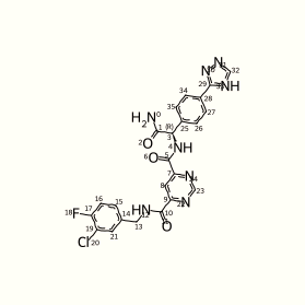 NC(=O)[C@H](NC(=O)c1cc(C(=O)NCc2ccc(F)c(Cl)c2)ncn1)c1ccc(-c2nnc[nH]2)cc1